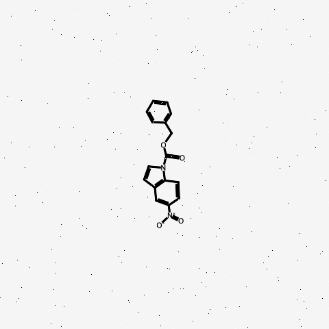 O=C(OCc1ccccc1)n1ccc2cc([N+](=O)[O-])ccc21